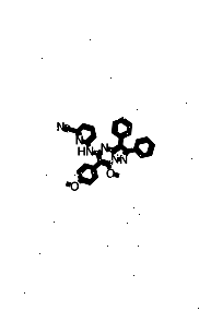 COc1ccc(-c2c(Nc3cccc(C#N)n3)nc3c(-c4ccccc4)c(-c4ccccc4)nn3c2OC)cc1